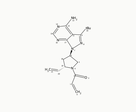 C=CC(=O)N1C[C@H](n2nc(C(C)(C)C)c3c(N)ncnc32)C[C@H]1C=C